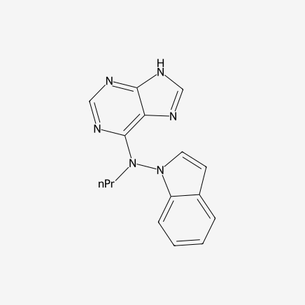 CCCN(c1ncnc2[nH]cnc12)n1ccc2ccccc21